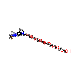 CC[n+]1ccsc1/N=N/c1ccc2c(c1)CCCN2CCOCCOCCOCCOCCOCCOCCOCCOCCOCCO